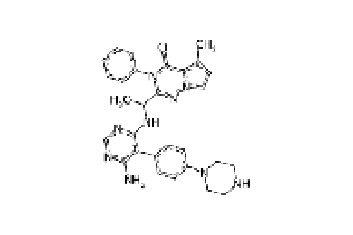 Cc1ccn2nc(C(C)Nc3ncnc(N)c3-c3ccc(N4CCNCC4)cc3)n(-c3ccccc3)c(=O)c12